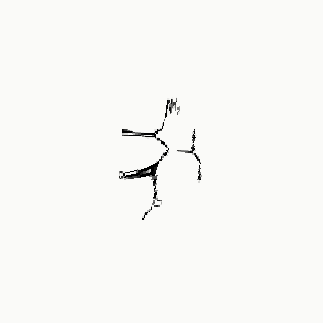 C=C(N)C(C(=O)OC)C(C)C